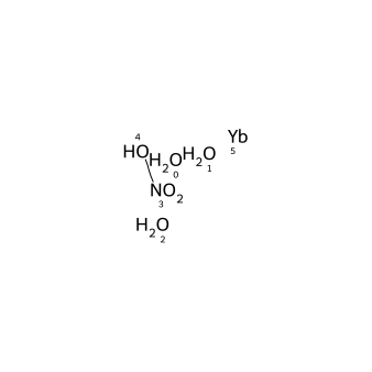 O.O.O.O=[N+]([O-])O.[Yb]